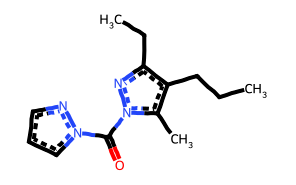 CCCc1c(CC)nn(C(=O)n2cccn2)c1C